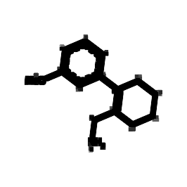 COc1cccc(C2=C(CN)CCCC2)c1